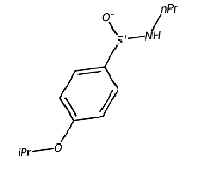 CCCN[S+]([O-])c1ccc(OC(C)C)cc1